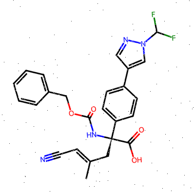 CC(=CC#N)C[C@](NC(=O)OCc1ccccc1)(C(=O)O)c1ccc(-c2cnn(C(F)F)c2)cc1